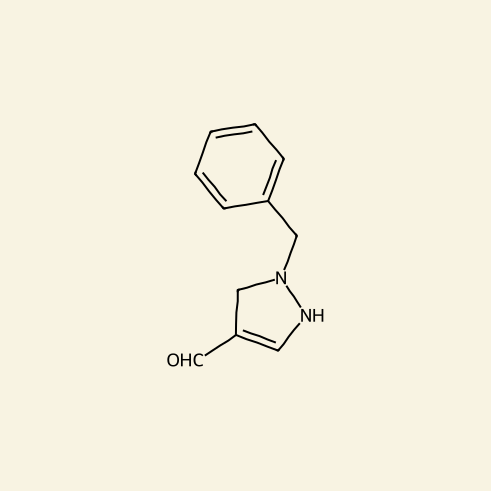 O=CC1=CNN(Cc2ccccc2)C1